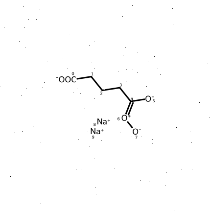 O=C([O-])CCCC([O-])=[O+][O-].[Na+].[Na+]